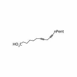 CCCCCC#CCC#CCCCCCC(=O)O